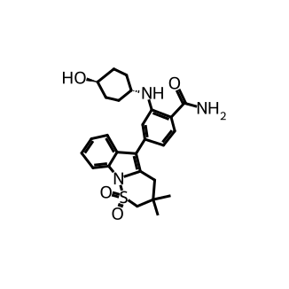 CC1(C)Cc2c(-c3ccc(C(N)=O)c(N[C@H]4CC[C@H](O)CC4)c3)c3ccccc3n2S(=O)(=O)C1